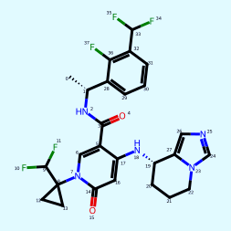 C[C@@H](NC(=O)c1cn(C2(C(F)F)CC2)c(=O)cc1N[C@H]1CCCn2cncc21)c1cccc(C(F)F)c1F